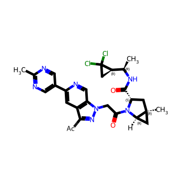 CC(=O)c1nn(CC(=O)N2[C@H](C(=O)N[C@H](C)[C@H]3CC3(Cl)Cl)C[C@@]3(C)C[C@@H]23)c2cnc(-c3cnc(C)nc3)cc12